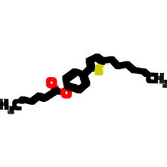 CCC/C=C/C(=O)Oc1ccc(-c2ccc(CCCCCC)s2)cc1